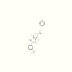 O=C1[C@H]2[C@@H]3C[C@@H](CN3C(=O)COc3ccc(Cl)cc3)N2C(=O)N1c1cccc(C(F)(F)F)c1